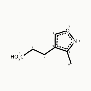 Cc1nocc1CCC(=O)O